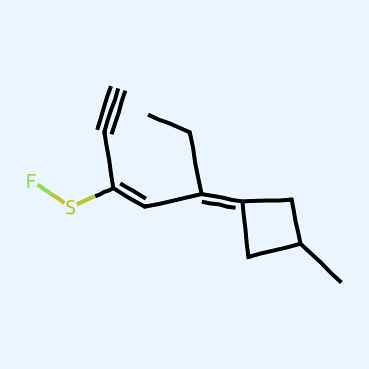 C#C/C(=C\C(CC)=C1CC(C)C1)SF